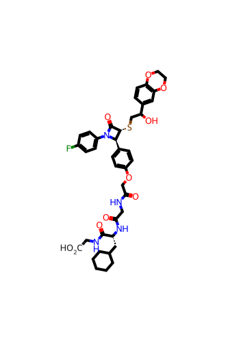 O=C(O)CNC(=O)[C@@H](CC1CCCCC1)NC(=O)CNC(=O)COc1ccc([C@@H]2[C@@H](SCC(O)c3ccc4c(c3)OCCO4)C(=O)N2c2ccc(F)cc2)cc1